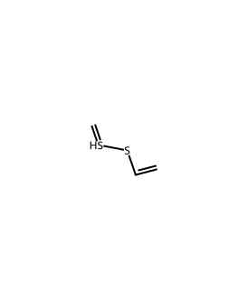 C=CS[SH]=C